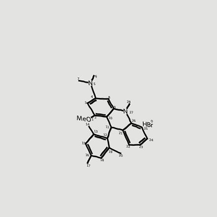 Br.COc1cc(N(C)C)cc2c1C(c1c(C)cc(C)cc1C)c1ccccc1N2C